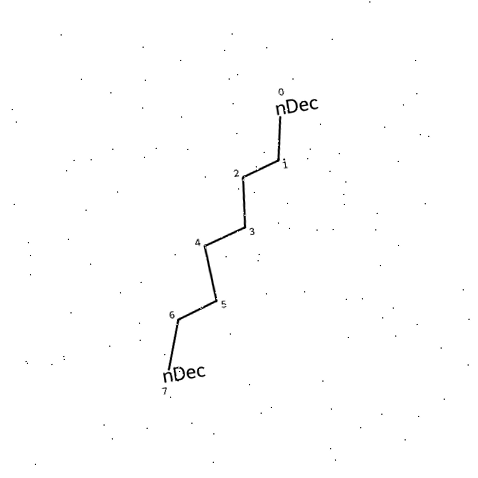 CCCCCCCCCC[CH]CCCCCCCCCCCCCCC